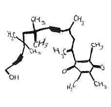 CC1=C(C)C(=O)C(C(C)CC(C)C#CC(C)(C)CC(C)(C)C#CCO)=C(C)C1=O